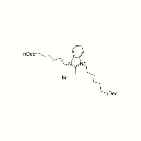 CCCCCCCCCCCCCCCCn1c(C)[n+](CCCCCCCCCCCCCCCC)c2ccccc21.[Br-]